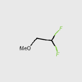 COC[C](F)F